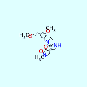 COCCCc1cc(CN(C(=O)[C@H]2CNCC[C@@H]2c2ccn(C)c(=O)c2)C2CC2)cc(OC)c1